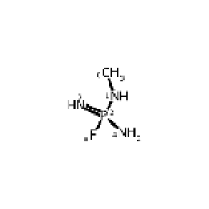 CNP(=N)(N)F